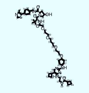 Cc1ncsc1-c1ccc(CNC(=O)[C@H]2C[C@H](O)CN2C(=O)[C@H](NC(=O)COCCCOCCCCOCCCOc2ccc(Nc3ncc(C4CCC4)c(NCCN(C)C(=O)C4CCC4)n3)cc2)C(C)(C)C)cc1